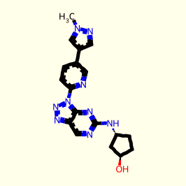 Cn1cc(-c2ccc(-n3nnc4cnc(N[C@@H]5CC[C@@H](O)C5)nc43)nc2)cn1